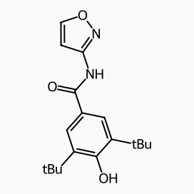 CC(C)(C)c1cc(C(=O)Nc2ccon2)cc(C(C)(C)C)c1O